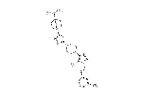 CN(C)C12CCC(c3cn([C@H]4CC[C@H](c5nnc(COc6cccc(C(F)(F)F)c6)n5C)CC4)nn3)(CC1)OC2